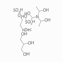 CC(O)N(C(C)O)C(C)O.CCCCCCCCCCCCOS(=O)(=O)O.O=S(=O)(O)O.OCC(O)CO